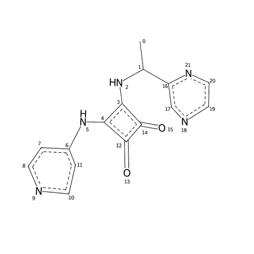 CC(Nc1c(Nc2ccncc2)c(=O)c1=O)c1cnccn1